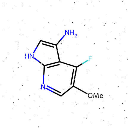 COc1cnc2[nH]cc(N)c2c1F